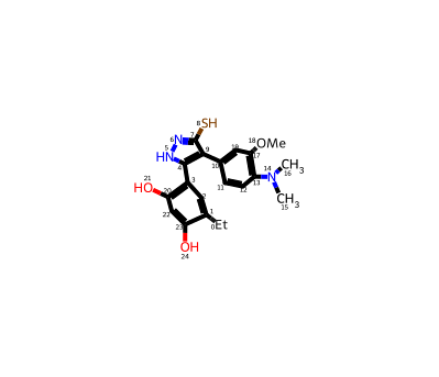 CCc1cc(-c2[nH]nc(S)c2-c2ccc(N(C)C)c(OC)c2)c(O)cc1O